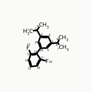 CC(C)c1[c]c(C(C)C)cc(-c2c(F)cccc2F)c1